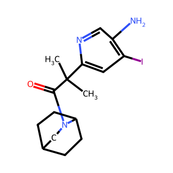 CC(C)(C(=O)N1CC2CCC1CC2)c1cc(I)c(N)cn1